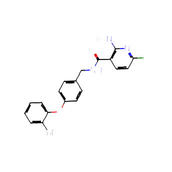 CCCCc1ccccc1Oc1ccc(CNC(=O)c2ccc(F)nc2N)cc1